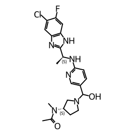 CC(=O)N(C)[C@H]1CCN(C(O)c2ccc(N[C@@H](C)c3nc4cc(Cl)c(F)cc4[nH]3)nc2)C1